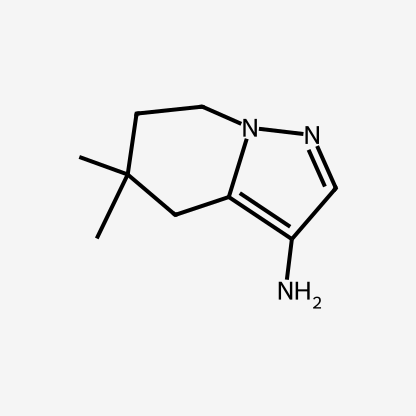 CC1(C)CCn2ncc(N)c2C1